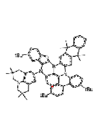 Cc1cc2c3c(c1)N(c1cc4c5c(c1)CC(C)(C)CN5CC(C)(C)C4)c1c(sc4ccc(C(C)(C)C)cc14)B3c1cc3c(cc1N2c1ccc(C(C)(C)C)cc1-c1ccc(C(C)(C)C)cc1)C(C)(C)c1ccccc1C3(C)C